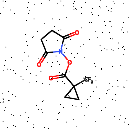 O=C1CCC(=O)N1OC(=O)C1(C(F)(F)F)CC1